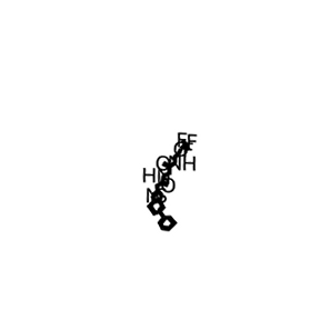 O=C(CNC(=O)Cc1nc2ccc(-c3ccccc3)cc2s1)NCCOC(F)(F)F